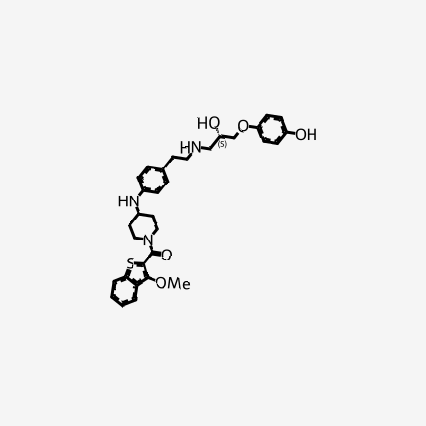 COc1c(C(=O)N2CCC(Nc3ccc(CCNC[C@H](O)COc4ccc(O)cc4)cc3)CC2)sc2ccccc12